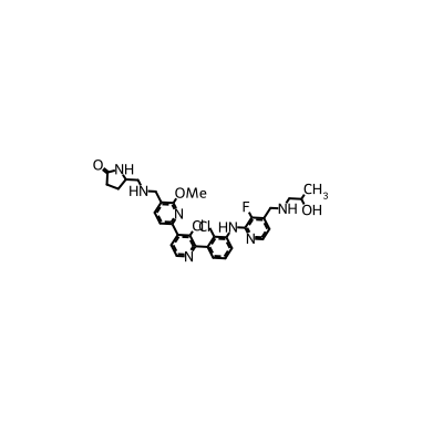 COc1nc(-c2ccnc(-c3cccc(Nc4nccc(CNCC(C)O)c4F)c3Cl)c2Cl)ccc1CNCC1CCC(=O)N1